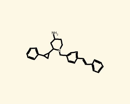 NC1CCN(Cc2ccc(C=Cc3ccccc3)cc2)C(C2CC2c2ccccc2)C1